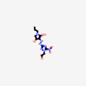 CCCN1CC(=O)C(N=Nc2nc([N+](=O)[O-])n(CC=O)n2)=C1O